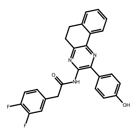 O=C(Cc1ccc(F)c(F)c1)Nc1nc2c(nc1-c1ccc(O)cc1)-c1ccccc1CC2